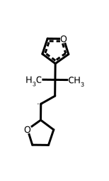 CC(C)(C[CH]C1CCCO1)c1ccoc1